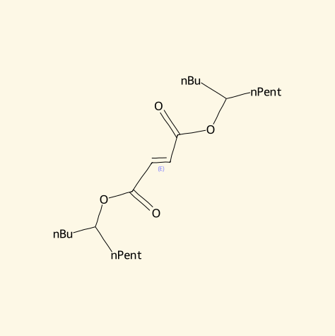 CCCCCC(CCCC)OC(=O)/C=C/C(=O)OC(CCCC)CCCCC